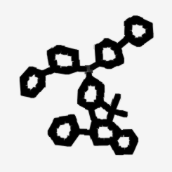 CC1(C)c2cc(N(c3ccc(-c4ccccc4)cc3)c3cccc(-c4ccccc4)c3)ccc2-c2c(-c3ccccc3)cc3ccccc3c21